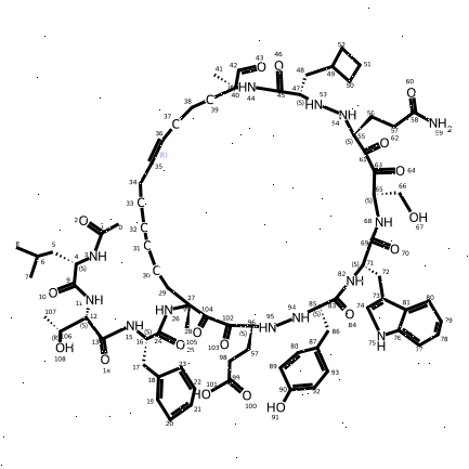 CC(=O)N[C@@H](CC(C)C)C(=O)N[C@H](C(=O)N[C@@H](Cc1ccccc1)C(=O)N[C@]1(C)CCCCCC/C=C/CCC[C@@](C)(C=O)NC(=O)[C@H](CC2CCC2)NN[C@@H](CCC(N)=O)C(=O)C(=O)[C@H](CO)NC(=O)[C@H](Cc2c[nH]c3ccccc23)NC(=O)[C@H](Cc2ccc(O)cc2)NN[C@@H](CCC(=O)O)C(=O)C1=O)[C@@H](C)O